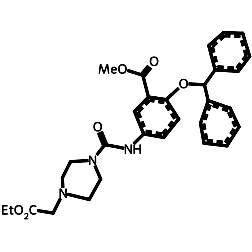 CCOC(=O)CN1CCN(C(=O)Nc2ccc(OC(c3ccccc3)c3ccccc3)c(C(=O)OC)c2)CC1